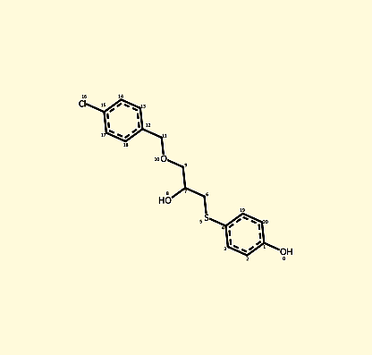 Oc1ccc(SCC(O)COCc2ccc(Cl)cc2)cc1